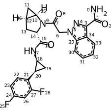 NC(=O)c1nn(CC(=O)N2[C@@H]3C[C@@H]3C[C@H]2C(=O)N[C@H]2C[C@H]2c2ccc(F)cc2F)c2ccccc12